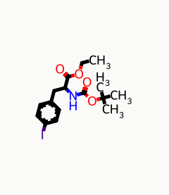 CCOC(=O)C(Cc1ccc(I)cc1)NC(=O)OC(C)(C)C